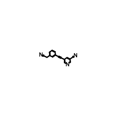 N#CCc1cccc(C#Cc2cncc(C#N)c2)c1